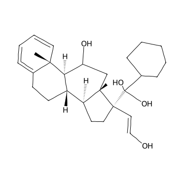 C[C@]12C=CC=C=C1CC[C@@H]1[C@@H]2C(O)C[C@@]2(C)[C@H]1CC[C@@]2(C=CO)C(O)(O)C1CCCCC1